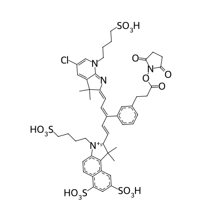 CC1(C)C2=CC(Cl)=CN(CCCCS(=O)(=O)O)C2=N/C1=C/C=C(/C=C/C1=[N+](CCCCS(=O)(=O)O)c2ccc3c(S(=O)(=O)O)cc(S(=O)(=O)O)cc3c2C1(C)C)c1cccc(CCC(=O)ON2C(=O)CCC2=O)c1